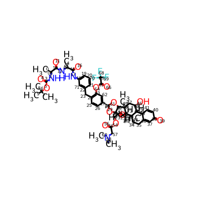 C[C@H](NC(=O)OC(C)(C)C)C(=O)N[C@@H](C)C(=O)Nc1cccc(Cc2ccc([C@@H]3O[C@@H]4C[C@H]5[C@@H]6CCC7=CC(=O)C=C[C@]7(C)[C@H]6[C@@H](O)C[C@]5(C)[C@]4(C(=O)COC(=O)CN(C)C)O3)cc2OC(=O)C(F)(F)F)c1